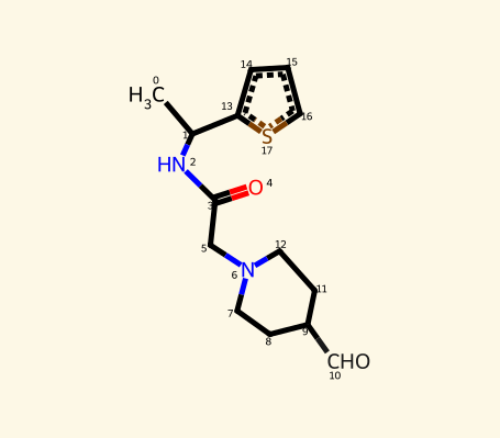 CC(NC(=O)CN1CCC(C=O)CC1)c1cccs1